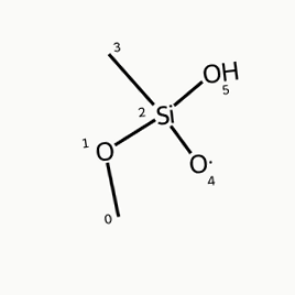 CO[Si](C)([O])O